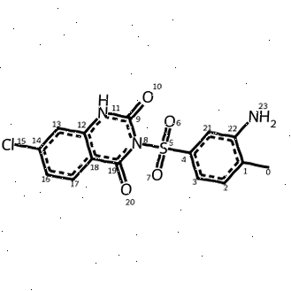 Cc1ccc(S(=O)(=O)n2c(=O)[nH]c3cc(Cl)ccc3c2=O)cc1N